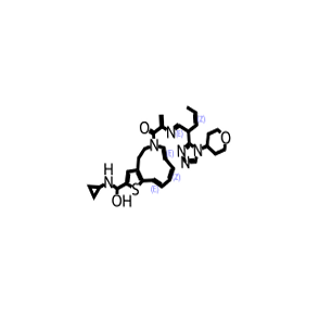 C=C(/N=C/C(/C=C\C)c1nncn1C1CCOCC1)C(=O)N1/C=C/C=C\C=C\c2sc(C(O)NC3CC3)cc2CC1